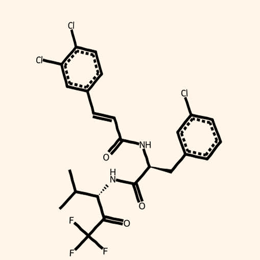 CC(C)[C@H](NC(=O)[C@H](Cc1cccc(Cl)c1)NC(=O)/C=C/c1ccc(Cl)c(Cl)c1)C(=O)C(F)(F)F